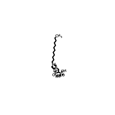 CCCCCCCCCCCC[n+]1ccn(CC(P(=O)(O)O)P(=O)(O)O)c1